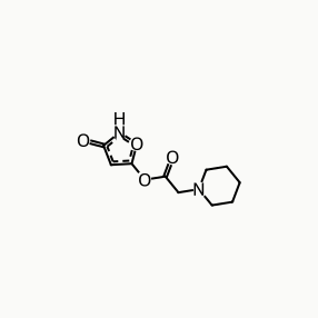 O=C(CN1CCCCC1)Oc1cc(=O)[nH]o1